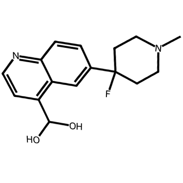 CN1CCC(F)(c2ccc3nccc(C(O)O)c3c2)CC1